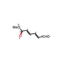 COC(=O)/C=C/C=C/[C]=O